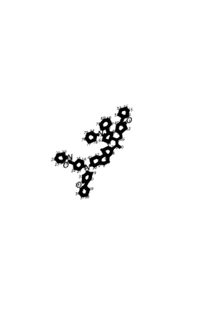 CC(c1ccc2c(ccc3cc(N(c4ccc(-c5nc6ccccc6o5)cc4)c4ccc5c(c4)oc4ccccc45)ccc32)c1)C(Cc1ccc2c(c1)oc1ccccc12)c1ccc2c(c1)c1ccccc1n2-c1ccccc1